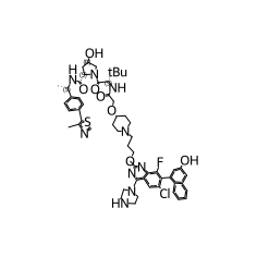 Cc1ncsc1-c1ccc([C@H](C)NC(=O)[C@@H]2C[C@@H](O)CN2C(=O)[C@@H](NC(=O)COC2CCN(CCCOc3nc(N4CCNCC4)c4cc(Cl)c(-c5cc(O)cc6ccccc56)c(F)c4n3)CC2)C(C)(C)C)cc1